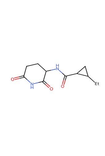 CCC1CC1C(=O)NC1CCC(=O)NC1=O